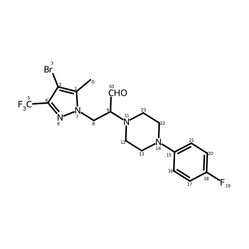 Cc1c(Br)c(C(F)(F)F)nn1CC(C=O)N1CCN(c2ccc(F)cc2)CC1